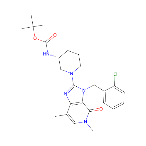 Cc1cn(C)c(=O)c2c1nc(N1CCC[C@@H](NC(=O)OC(C)(C)C)C1)n2Cc1ccccc1Cl